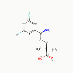 CC(C)(CC[C@H](N)c1cc(F)cc(F)c1)C(=O)O